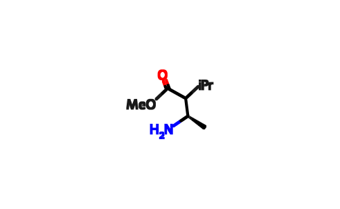 COC(=O)C(C(C)C)[C@@H](C)N